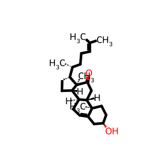 CC(C)=CCC[C@@H](C)[C@H]1CC[C@H]2[C@@H]3CC=C4C[C@H](O)CC[C@]4(C)[C@H]3CC(=O)[C@]12C